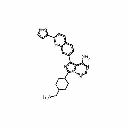 NCC1CCC(c2nc(-c3ccc4ccc(-c5cccs5)nc4c3)c3c(N)ncnn23)CC1